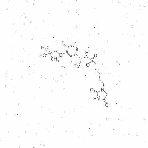 C[C@@H](NS(=O)(=O)CCCCCN1CC(=O)NC1=O)c1ccc(F)c(OCC(C)(C)O)c1